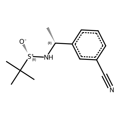 C[C@@H](N[S@@+]([O-])C(C)(C)C)c1cccc(C#N)c1